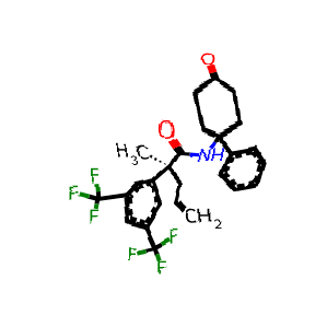 C=CC[C@](C)(C(=O)NC1(c2ccccc2)CCC(=O)CC1)c1cc(C(F)(F)F)cc(C(F)(F)F)c1